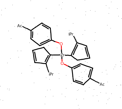 CC(=O)c1ccc([O][Zr]([O]c2ccc(C(C)=O)cc2)([C]2=C(C(C)C)C=CC2)[C]2=C(C(C)C)C=CC2)cc1